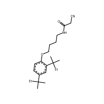 CCC(C)(C)c1ccc(OCCCCNC(=O)CC#N)c(C(C)(C)CC)c1